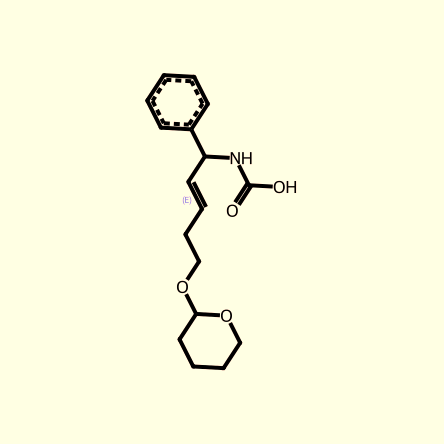 O=C(O)NC(/C=C/CCOC1CCCCO1)c1ccccc1